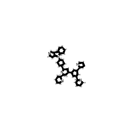 c1ccc(-c2cc(-c3cc(-c4ccc(-n5c6ccccc6c6cnccc65)cc4)nc(-c4ccccn4)c3)cc(-c3ccccn3)c2)nc1